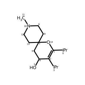 CC(C)C1=C(C(C)C)C(O)CC2(CCN(C)CC2)O1